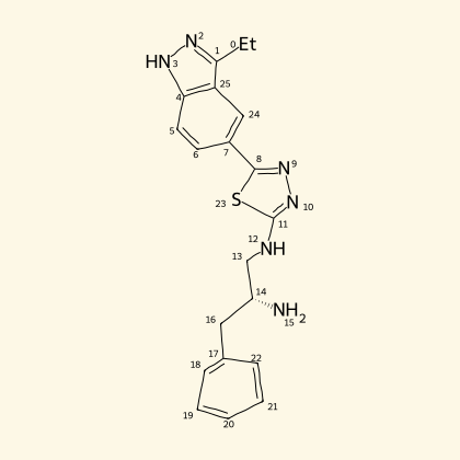 CCc1n[nH]c2ccc(-c3nnc(NC[C@H](N)Cc4ccccc4)s3)cc12